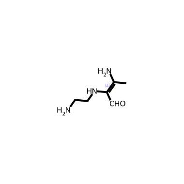 C/C(N)=C(\C=O)NCCN